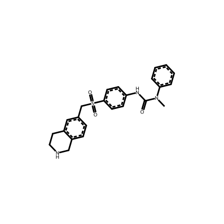 CN(C(=O)Nc1ccc(S(=O)(=O)Cc2ccc3c(c2)CCNC3)cc1)c1ccccc1